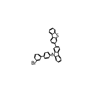 Brc1cccc(-c2ccc(-n3c4ccccc4c4ccc(-c5ccc6c(c5)sc5ccccc56)cc43)cc2)c1